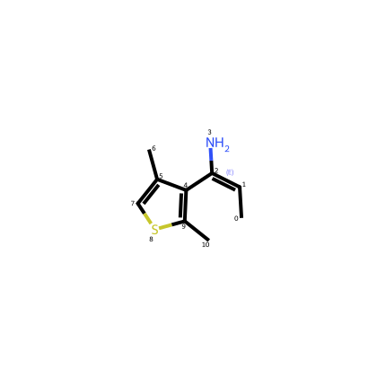 C/C=C(/N)c1c(C)csc1C